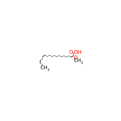 CC/C=C\C/C=C\CCCCCCCCCC/C=C(/OC)C(=O)O